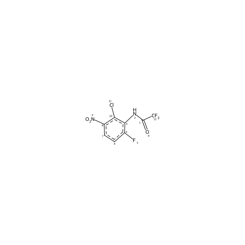 O=C(Nc1c(F)ccc([N+](=O)[O-])c1Cl)C(F)(F)F